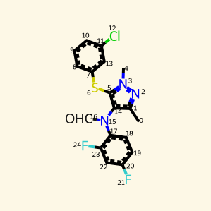 Cc1nn(C)c(Sc2cccc(Cl)c2)c1N(C=O)c1ccc(F)cc1F